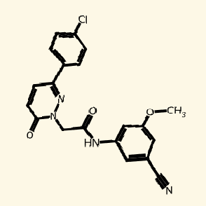 COc1cc(C#N)cc(NC(=O)Cn2nc(-c3ccc(Cl)cc3)ccc2=O)c1